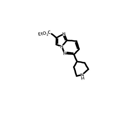 CCOC(=O)c1cn2nc(C3CCNCC3)ccc2n1